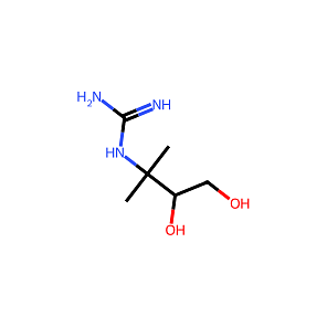 CC(C)(NC(=N)N)C(O)CO